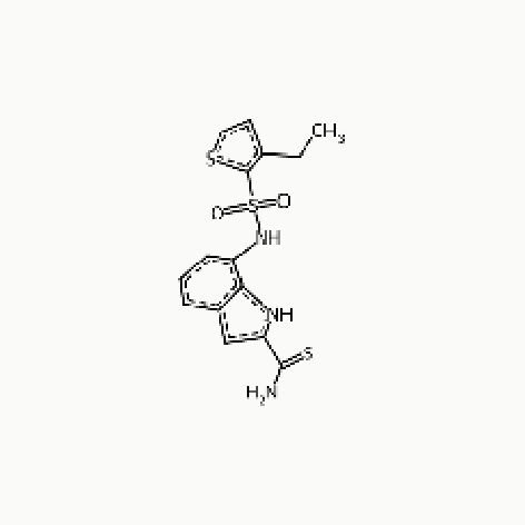 CCc1ccsc1S(=O)(=O)Nc1cccc2cc(C(N)=S)[nH]c12